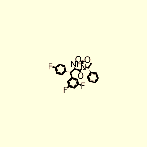 N[C@H](C(=O)N1C(=O)OC[C@@H]1c1ccccc1)[C@@H](c1ccc(F)cc1)c1cc(F)cc(F)c1